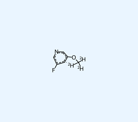 [2H]C([2H])([2H])Oc1[c]c(F)cnc1